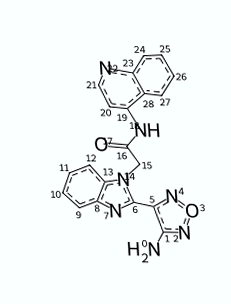 Nc1nonc1-c1nc2ccccc2n1CC(=O)Nc1ccnc2ccccc12